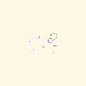 CC(C)C[C@@H]1NC(=O)[C@H](Cc2cn(C(=O)OC(C)(C)C)c3ccccc23)NC(=O)CNC2(CNC1=O)COC2